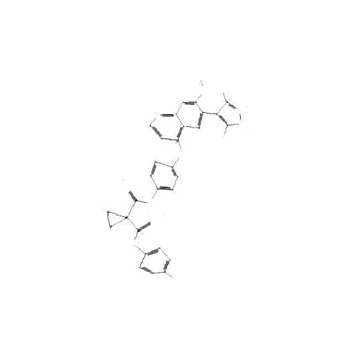 COc1cc2nccc(Oc3ccc(NC(=O)C4(C(=O)Nc5ccc(F)cc5)CC4)cc3)c2cc1-c1c(C)noc1C